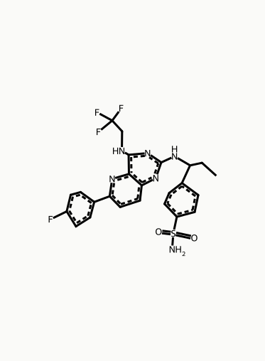 CCC(Nc1nc(NCC(F)(F)F)c2nc(-c3ccc(F)cc3)ccc2n1)c1ccc(S(N)(=O)=O)cc1